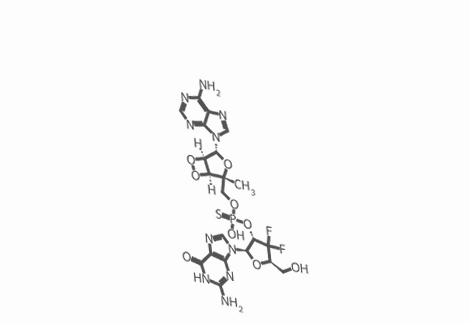 C[C@]1(COP(O)(=S)O[C@H]2[C@H](n3cnc4c(=O)[nH]c(N)nc43)O[C@H](CO)C2(F)F)O[C@@H](n2cnc3c(N)ncnc32)[C@@H]2OO[C@@H]21